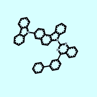 c1ccc(-c2cccc(-c3nc(-n4c5ccccc5c5c6ccc(-n7c8ccccc8c8ccccc87)cc6ccc54)nc4ccccc34)c2)cc1